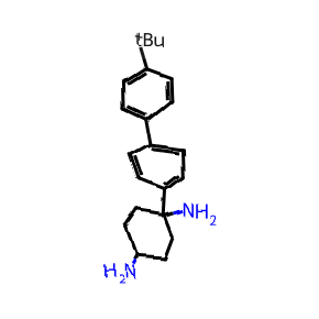 CC(C)(C)c1ccc(-c2ccc(C3(N)CCC(N)CC3)cc2)cc1